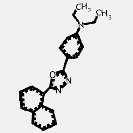 CCN(CC)c1ccc(-c2nnc(-c3cccc4ccccc34)o2)cc1